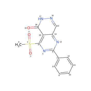 CS(=O)(=O)c1nc(-c2ccccc2)nc2cn[nH]c(=O)c12